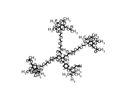 CC(=O)NC1C(OCCOCCOCCNC(=O)CCC(NC(=O)[C@H]2CC[C@@H](OP(OCCC#N)N(C(C)C)C(C)C)CC2)C(=O)N(CC(=O)NCCOCCOCCOC2OC(COC(C)=O)C(OC(C)=O)C(OC(C)=O)C2NC(C)=O)CC(=O)NCCOCCOCCOC2(NC(C)=O)COC(COC(C)=O)C(OC(C)=O)C2OC(C)=O)OC(COC(C)=O)C(OC(C)=O)C1OC(C)=O